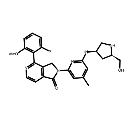 COc1cccc(F)c1-c1nccc2c1CN(c1cc(C)cc(N[C@H]3CN[C@@H](CO)C3)n1)C2=O